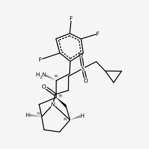 N[C@H](Cc1cc(F)c(F)cc1F)[C@H]1C[C@H]2CC[C@@H](C1)N2C(=O)CCS(=O)(=O)CC1CC1